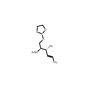 C/C=C/[C@@H](O)[C@H](COP1OCCO1)NC(C)=O